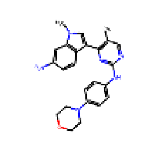 Cc1cnc(Nc2ccc(N3CCOCC3)cc2)nc1-c1cn(C)c2cc(N)ccc12